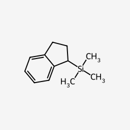 C[Si](C)(C)C1CCc2ccccc21